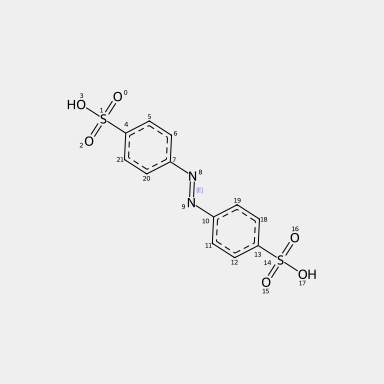 O=S(=O)(O)c1ccc(/N=N/c2ccc(S(=O)(=O)O)cc2)cc1